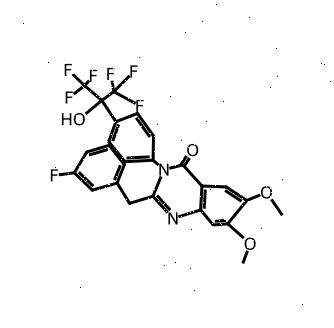 COc1cc2nc(Cc3cccc(F)c3)n(-c3ccc(C(O)(C(F)(F)F)C(F)(F)F)cc3)c(=O)c2cc1OC